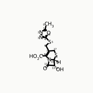 Cc1nnc(SCC2=C(C(=O)O)N3C(=O)[C@@H](O)[C@H]3SC2)o1